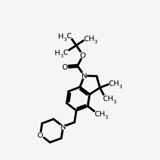 Cc1c(CN2CCOCC2)ccc2c1C(C)(C)CN2C(=O)OC(C)(C)C